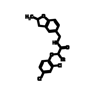 CCC(Oc1ccc(Cl)cc1Cl)C(=O)NCc1ccc2c(c1)CC(C)O2